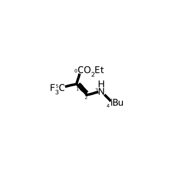 CCOC(=O)/C(=C\NC(C)CC)C(F)(F)F